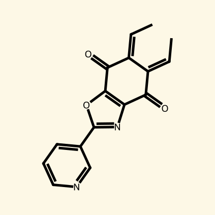 C/C=C1/C(=O)c2nc(-c3cccnc3)oc2C(=O)/C1=C/C